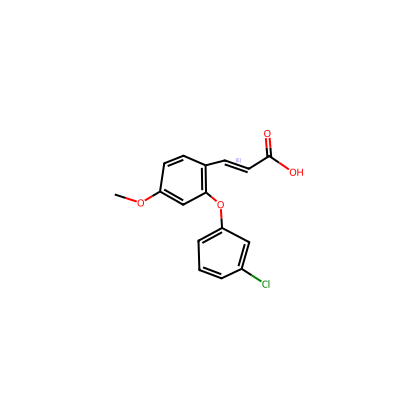 COc1ccc(/C=C/C(=O)O)c(Oc2cccc(Cl)c2)c1